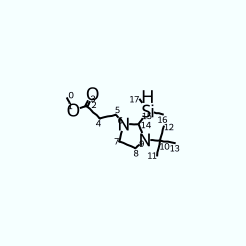 COC(=O)CCN1CCN(C(C)(C)C)C1[SiH](C)C